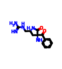 N=C(N)NCCC[C@](N)(C(N)=O)C(=O)c1ccccc1